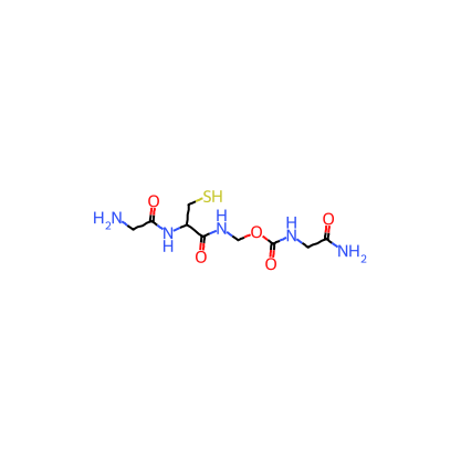 NCC(=O)NC(CS)C(=O)NCOC(=O)NCC(N)=O